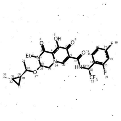 CCN1C(=O)c2c(O)c(=O)c(C(=O)N[C@@H](c3ccc(F)cc3F)C(F)(F)F)cn2C[C@H]1OC(C)[C@H]1C[C@@H]1C